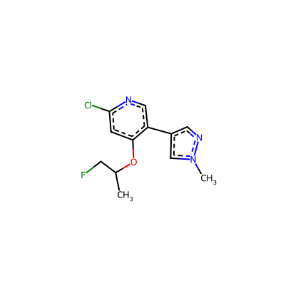 CC(CF)Oc1cc(Cl)ncc1-c1cnn(C)c1